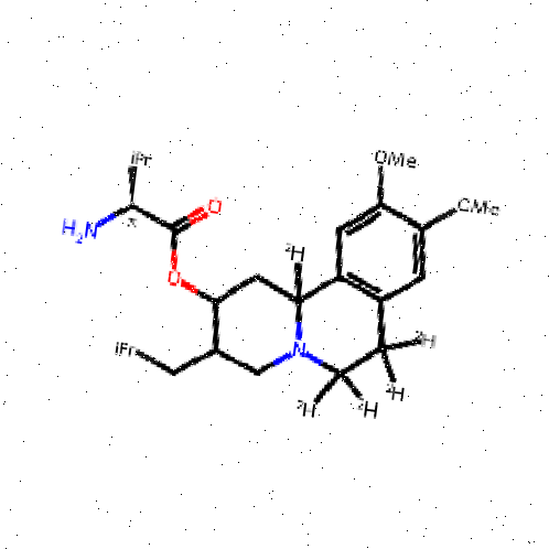 [2H]C12CC(OC(=O)[C@@H](N)C(C)C)C(CC(C)C)CN1C([2H])([2H])C([2H])([2H])c1cc(OC)c(OC)cc12